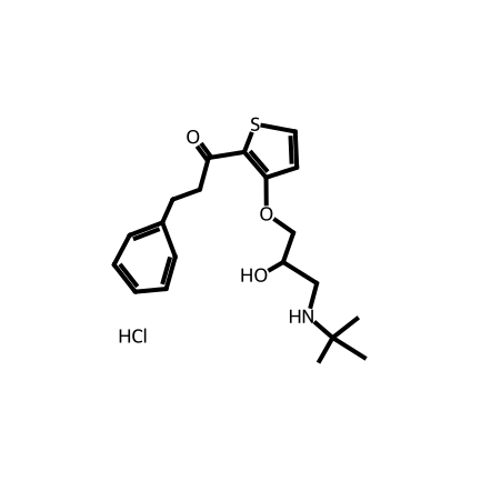 CC(C)(C)NCC(O)COc1ccsc1C(=O)CCc1ccccc1.Cl